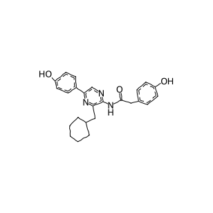 O=C(Cc1ccc(O)cc1)Nc1ncc(-c2ccc(O)cc2)nc1CC1CCCCC1